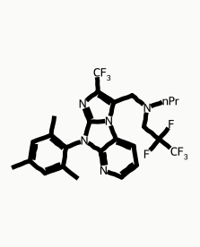 CCCN(Cc1c(C(F)(F)F)nc2n(-c3c(C)cc(C)cc3C)c3ncccc3n12)CC(F)(F)C(F)(F)F